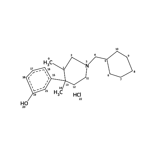 CC1CN(CC2CCCCC2)CCC1(C)c1cccc(O)c1.Cl